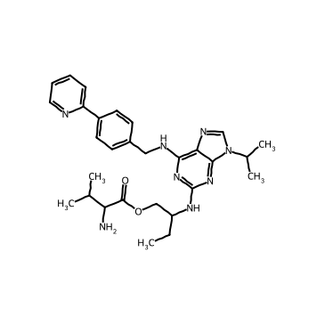 CCC(COC(=O)C(N)C(C)C)Nc1nc(NCc2ccc(-c3ccccn3)cc2)c2ncn(C(C)C)c2n1